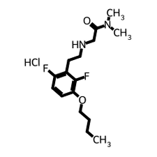 CCCCOc1ccc(F)c(CCNCC(=O)N(C)C)c1F.Cl